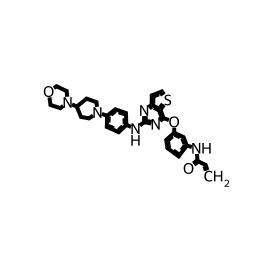 C=CC(=O)Nc1cccc(Oc2nc(Nc3ccc(N4CCC(N5CCOCC5)CC4)cc3)nc3ccsc23)c1